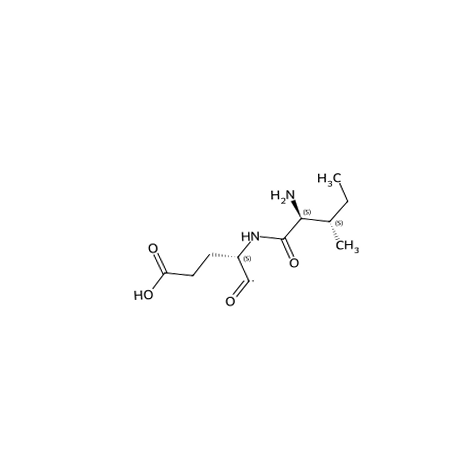 CC[C@H](C)[C@H](N)C(=O)N[C@H]([C]=O)CCC(=O)O